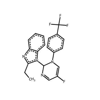 CCc1nc2ccccc2n1C1N=CC(F)=CN1c1ccc(C(F)(F)F)cc1